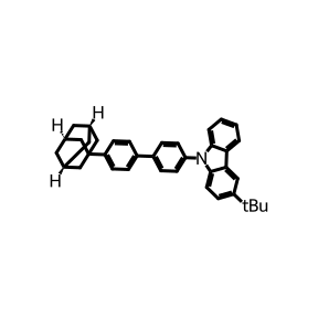 CC(C)(C)c1ccc2c(c1)c1ccccc1n2-c1ccc(-c2ccc(C34C[C@H]5C[C@@H](C3)C[C@@H](C4)C5)cc2)cc1